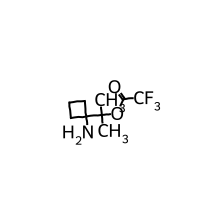 CC(C)(OC(=O)C(F)(F)F)C1(N)CCC1